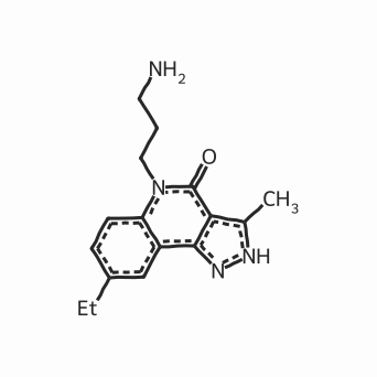 CCc1ccc2c(c1)c1n[nH]c(C)c1c(=O)n2CCCN